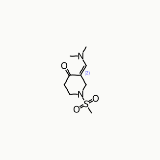 CN(C)/C=C1/CN(S(C)(=O)=O)CCC1=O